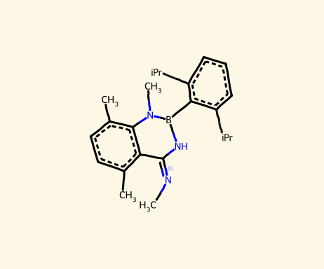 C/N=C1/NB(c2c(C(C)C)cccc2C(C)C)N(C)c2c(C)ccc(C)c21